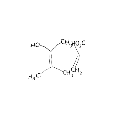 C=CC(=O)O.CC(C)=C(C)O